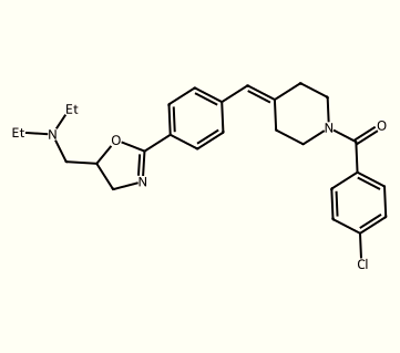 CCN(CC)CC1CN=C(c2ccc(C=C3CCN(C(=O)c4ccc(Cl)cc4)CC3)cc2)O1